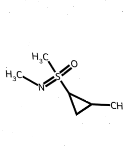 CN=S(C)(=O)C1CC1C